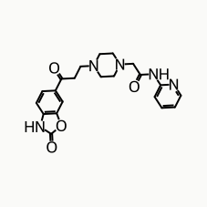 O=C(CN1CCN(CCC(=O)c2ccc3[nH]c(=O)oc3c2)CC1)Nc1ccccn1